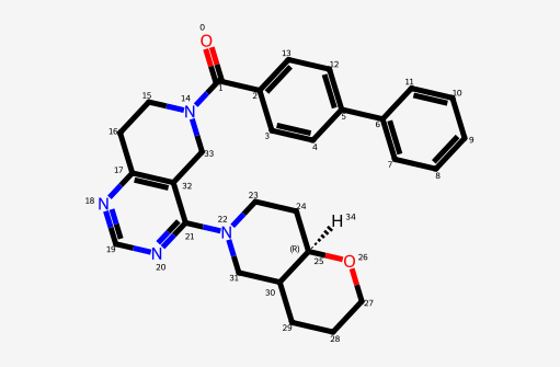 O=C(c1ccc(-c2ccccc2)cc1)N1CCc2ncnc(N3CC[C@H]4OCCCC4C3)c2C1